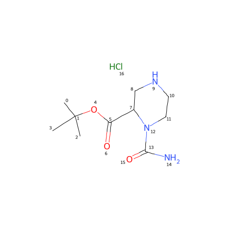 CC(C)(C)OC(=O)C1CNCCN1C(N)=O.Cl